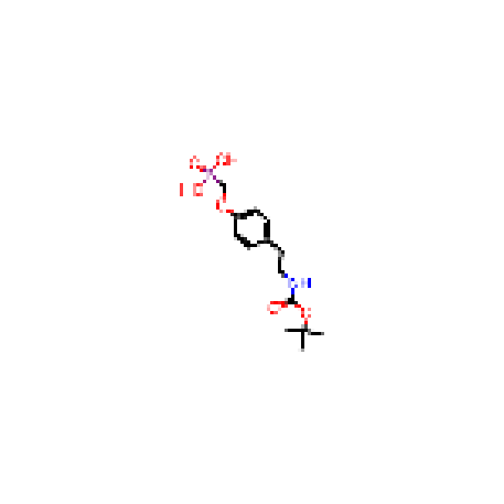 CC(C)(C)OC(=O)NCCc1ccc(OCP(=O)(O)O)cc1